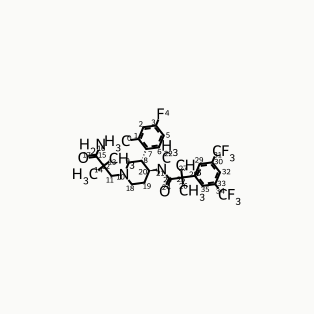 Cc1cc(F)ccc1[C@H]1CN(CC(C)(C)C(N)=O)CC[C@@H]1N(C)C(=O)C(C)(C)c1cc(C(F)(F)F)cc(C(F)(F)F)c1